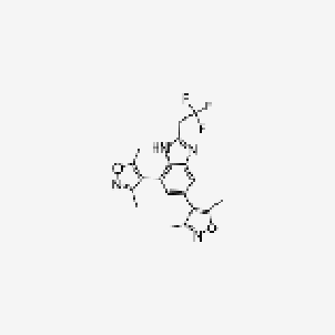 Cc1noc(C)c1-c1cc(-c2c(C)noc2C)c2[nH]c(CC(F)(F)F)nc2c1